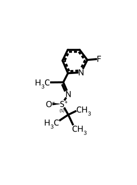 CC(=N[S@+]([O-])C(C)(C)C)c1cccc(F)n1